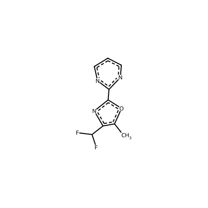 Cc1oc(-c2ncccn2)nc1C(F)F